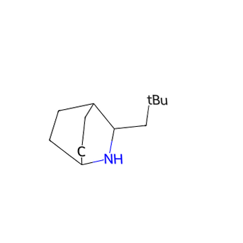 CC(C)(C)CC1NC2CCC1CC2